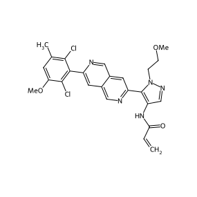 C=CC(=O)Nc1cnn(CCOC)c1-c1cc2cnc(-c3c(Cl)c(C)cc(OC)c3Cl)cc2cn1